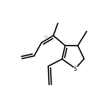 C=C/C=C(/C)C1=C(C=C)SCC1C